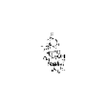 CNC(=O)C(NC(=O)c1ccc(F)cc1C(F)(F)F)C(O)c1ccccc1C